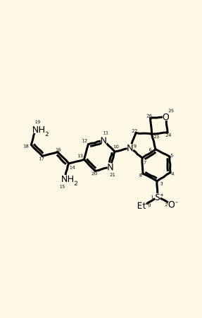 CC[S+]([O-])c1ccc2c(c1)N(c1ncc(/C(N)=C/C=C\N)cn1)CC21COC1